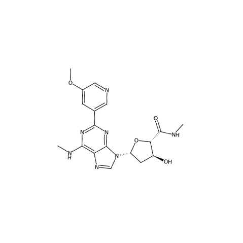 CNC(=O)[C@H]1O[C@@H](n2cnc3c(NC)nc(-c4cncc(OC)c4)nc32)C[C@@H]1O